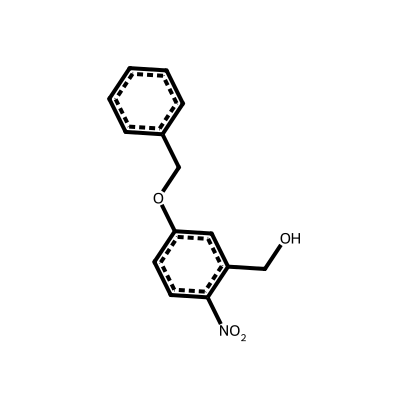 O=[N+]([O-])c1ccc(OCc2ccccc2)cc1CO